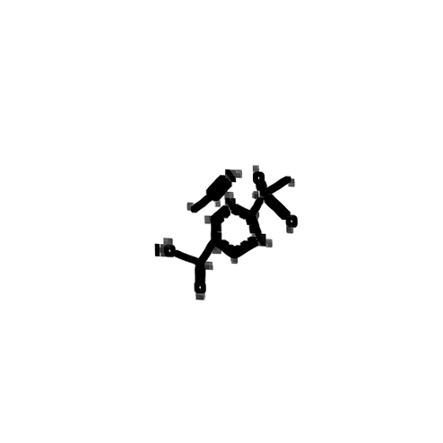 CC#N.CS(=O)(=O)c1ncc(C(=O)O)cn1